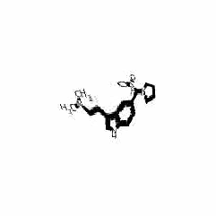 CN(C)CCc1c[nH]c2ccc(C(N3CCCC3)[SH](=O)=O)cc12